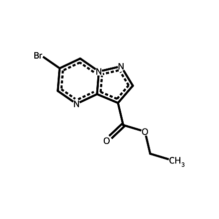 CCOC(=O)c1cnn2cc(Br)cnc12